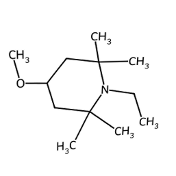 CCN1C(C)(C)CC(OC)CC1(C)C